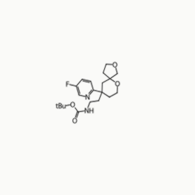 CC(C)(C)OC(=O)NCCC1(c2ccc(F)cn2)CCOC2(CCOC2)C1